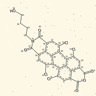 O=C1OC(=O)c2cc(Cl)c3c4c(Cl)cc5c6c(cc(Cl)c(c7c(Cl)cc1c2c73)c64)C(=O)N(CCCCO)C5=O